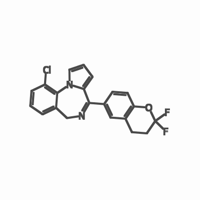 FC1(F)CCc2cc(C3=NCc4cccc(Cl)c4-n4cccc43)ccc2O1